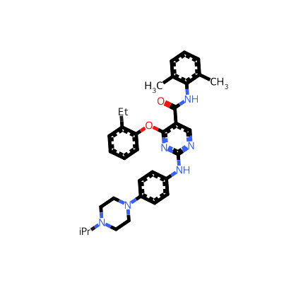 CCc1ccccc1Oc1nc(Nc2ccc(N3CCN(C(C)C)CC3)cc2)ncc1C(=O)Nc1c(C)cccc1C